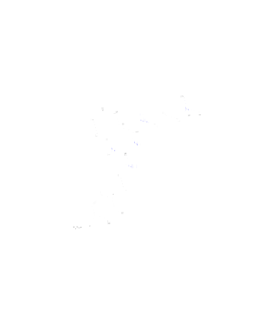 COc1ccc(CCNc2nc(NCCCN(C)C)c3ccccc3n2)cc1